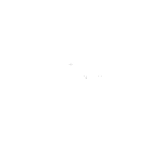 CCCCCCCC(CC1CO1)N(CC)CC.Cl